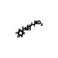 O=[N+]([O-])CCCCNCc1ccccc1